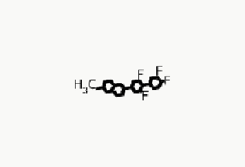 CCc1ccc2cc(-c3cc(F)c(-c4ccc(F)c(F)c4)c(F)c3)ccc2c1